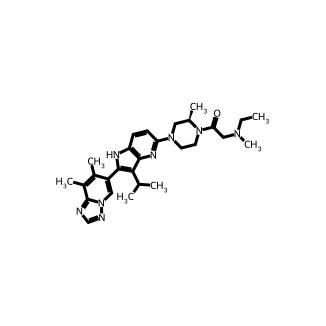 CCN(C)CC(=O)N1CCN(c2ccc3[nH]c(-c4cn5ncnc5c(C)c4C)c(C(C)C)c3n2)C[C@H]1C